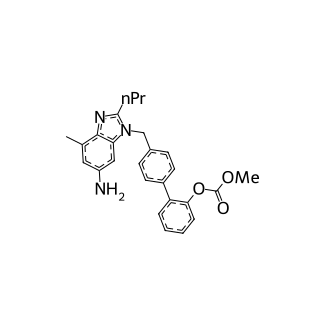 CCCc1nc2c(C)cc(N)cc2n1Cc1ccc(-c2ccccc2OC(=O)OC)cc1